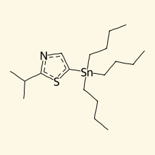 CCC[CH2][Sn]([CH2]CCC)([CH2]CCC)[c]1cnc(C(C)C)s1